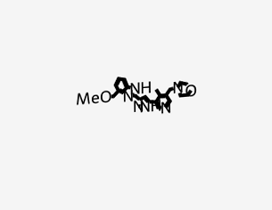 COCc1cccc2[nH]c(-c3cc(-c4cncc(CN5CCOCC5)c4C)[nH]n3)nc12